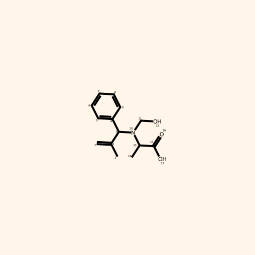 C=C(C)C(c1ccccc1)N(CO)C(C)C(=O)O